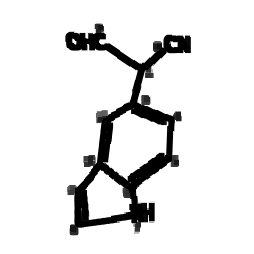 N#CC(C=O)c1ccc2[nH]ccc2c1